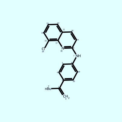 C=C(CCCC)c1ccc(Nc2ccc3cccc(Cl)c3n2)cc1